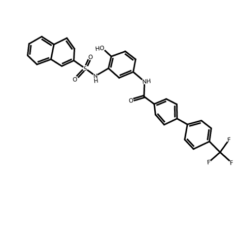 O=C(Nc1ccc(O)c(NS(=O)(=O)c2ccc3ccccc3c2)c1)c1ccc(-c2ccc(C(F)(F)F)cc2)cc1